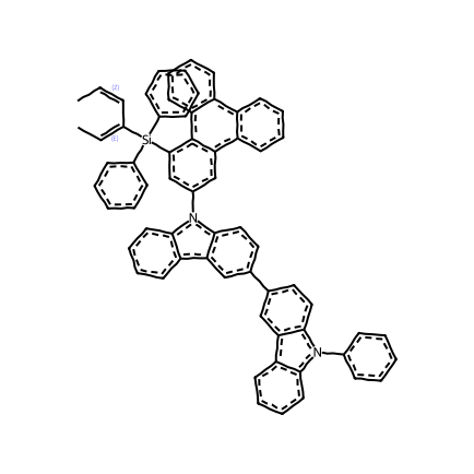 C/C=C\C(=C/C)[Si](c1ccccc1)(c1ccccc1)c1cc(-n2c3ccccc3c3cc(-c4ccc5c(c4)c4ccccc4n5-c4ccccc4)ccc32)cc2c3ccccc3c3ccccc3c12